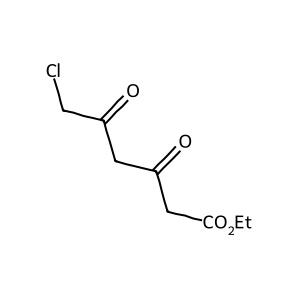 CCOC(=O)CC(=O)CC(=O)CCl